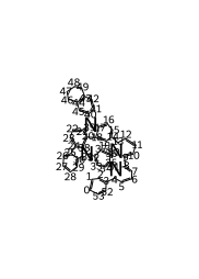 c1ccc(-c2cccc(-c3cccc(-c4ccc5c(c4)c4c(ccc6c7ccccc7n(-c7ccccc7)c64)n5-c4ccc5c(c4)CCCC5)n3)n2)cc1